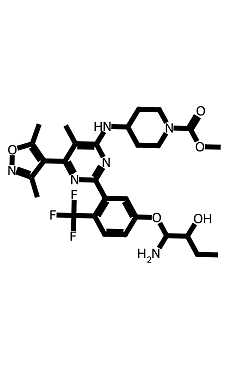 CCC(O)C(N)Oc1ccc(C(F)(F)F)c(-c2nc(NC3CCN(C(=O)OC)CC3)c(C)c(-c3c(C)noc3C)n2)c1